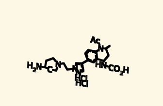 CC(=O)N1c2ccc(-c3cnn(CCN4CCC(N)CC4)c3)cc2C(NC(=O)O)CC1C.Cl.Cl